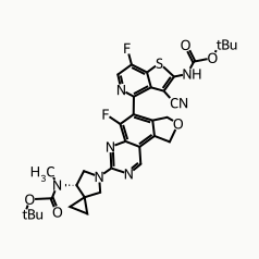 CN(C(=O)OC(C)(C)C)[C@@H]1CN(c2ncc3c4c(c(-c5ncc(F)c6sc(NC(=O)OC(C)(C)C)c(C#N)c56)c(F)c3n2)COC4)CC12CC2